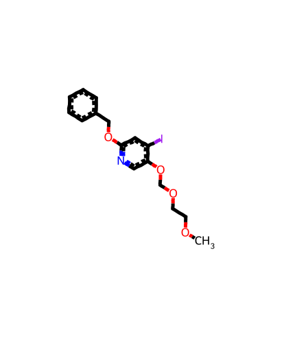 COCCOCOc1cnc(OCc2ccccc2)cc1I